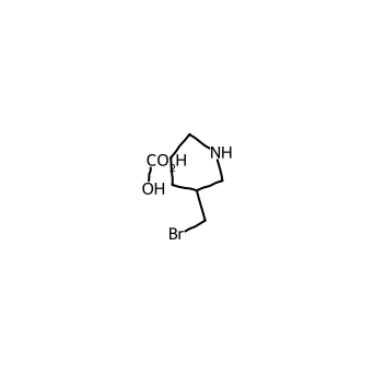 BrCC1CCCNC1.O=C(O)O